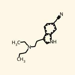 CCCN(CC)CCc1c[nH]c2cc(C#N)ccc12